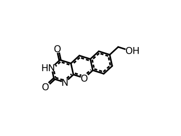 O=c1nc2oc3ccc(CO)cc3cc-2c(=O)[nH]1